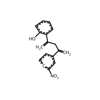 C=C(CC(=C)c1ccccc1O)c1cccc([N+](=O)[O-])c1